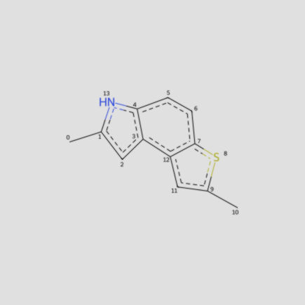 Cc1cc2c(ccc3sc(C)cc32)[nH]1